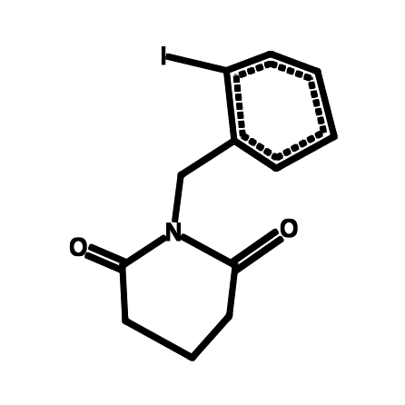 O=C1CCCC(=O)N1Cc1ccccc1I